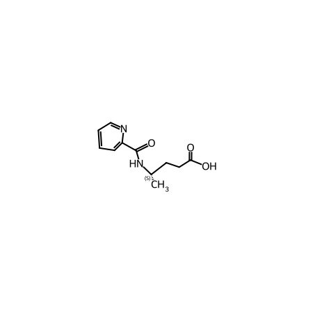 C[C@@H](CCC(=O)O)NC(=O)c1ccccn1